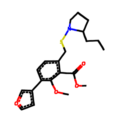 CCCC1CCCN1SCc1ccc(-c2ccoc2)c(OC)c1C(=O)OC